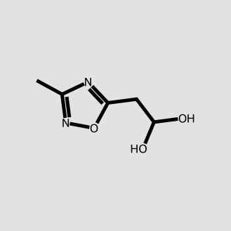 Cc1noc(CC(O)O)n1